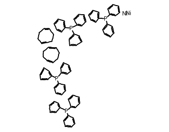 C1=C\CC/C=C\CC/1.C1=C\CC/C=C\CC/1.[Ni].[Ni].c1ccc(P(c2ccccc2)c2ccccc2)cc1.c1ccc(P(c2ccccc2)c2ccccc2)cc1.c1ccc(P(c2ccccc2)c2ccccc2)cc1.c1ccc(P(c2ccccc2)c2ccccc2)cc1